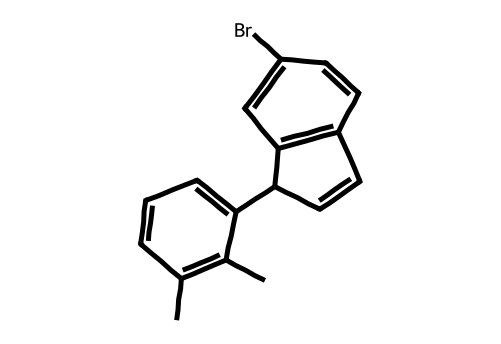 Cc1cccc(C2C=Cc3ccc(Br)cc32)c1C